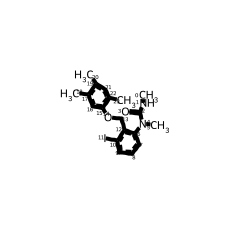 CNC(=O)N(C)c1cccc(I)c1COc1cc(C)c(C)cc1C